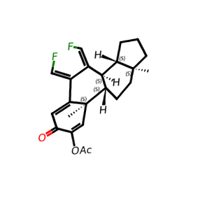 CC(=O)OC1=C[C@@]2(C)C(=CC1=O)C(=CF)C(=CF)[C@H]1[C@@H]3CCC[C@@]3(C)CC[C@@H]12